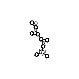 c1ccc(-c2nc(-c3ccccc3)nc(-c3ccc(-n4c5ccccc5c5cc(-c6ccc7c(c6)c6ccccc6n7-c6ccc7oc8ccccc8c7c6)ccc54)cc3)n2)cc1